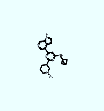 CC(=O)N1CCCC(c2nc(NC34CC(C3)C4)cc(-c3cncc4[nH]ccc34)n2)C1